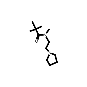 CN(CCN1CCCC1)C(=O)C(C)(C)C